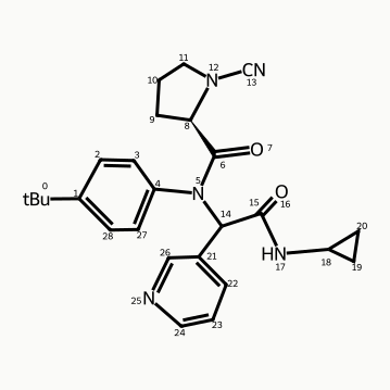 CC(C)(C)c1ccc(N(C(=O)[C@H]2CCCN2C#N)C(C(=O)NC2CC2)c2cccnc2)cc1